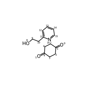 O=C1CCC(=O)CC1.OCCc1ccccn1